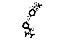 CC(C)N(C(=O)c1cccc(NC[C@H]2CC[C@H](NS(=O)(=O)C(C)(C)C)CC2)c1)C(C)C